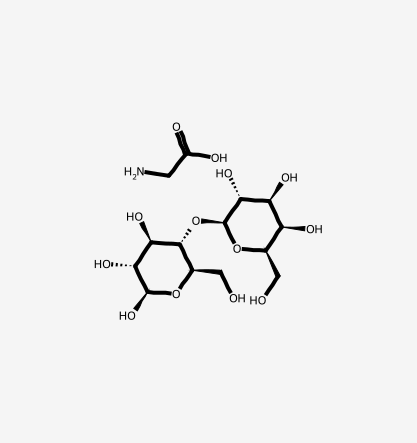 NCC(=O)O.OC[C@H]1O[C@@H](O[C@H]2[C@H](O)[C@@H](O)[C@H](O)O[C@@H]2CO)[C@H](O)[C@@H](O)[C@H]1O